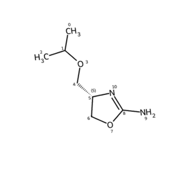 CC(C)OC[C@H]1COC(N)=N1